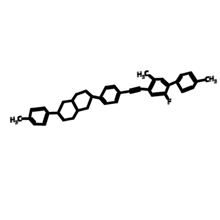 Cc1ccc(-c2cc(C)c(C#Cc3ccc(C4CCC5CC(c6ccc(C)cc6)CCC5C4)cc3)cc2F)cc1